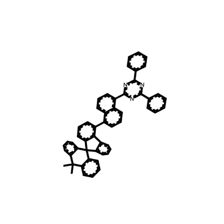 CC1(C)c2ccccc2C2(c3ccccc3-c3c(-c4cccc5c(-c6nc(-c7ccccc7)nc(-c7ccccc7)n6)cccc45)cccc32)c2ccccc21